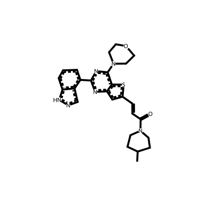 CC1CCN(C(=O)/C=C/c2cc3nc(-c4cccc5[nH]ncc45)nc(N4CCOCC4)c3s2)CC1